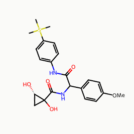 COc1ccc(C(NC(=O)C2(O)C[C@@H]2O)C(=O)Nc2ccc(S(C)(C)C)cc2)cc1